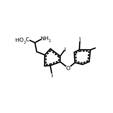 Cc1ccc(Oc2c(I)cc(CC(N)C(=O)O)cc2I)cc1I